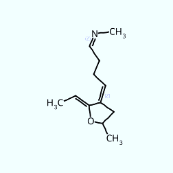 CC=C1OC(C)C/C1=C/CC/C=N\C